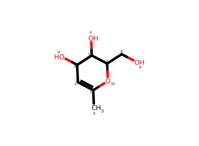 CC1=CC(O)C(O)C(CO)O1